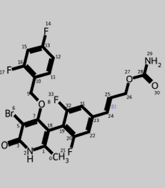 Cc1[nH]c(=O)c(Br)c(OCc2ccc(F)cc2F)c1-c1c(F)cc(/C=C/COC(N)=O)cc1F